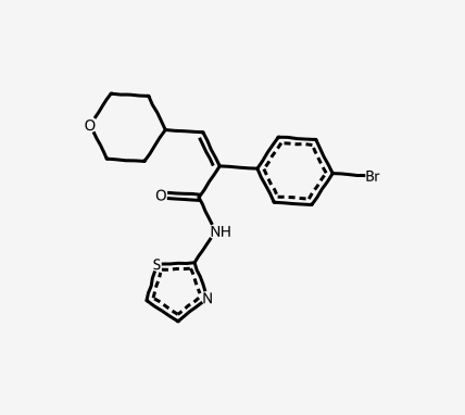 O=C(Nc1nccs1)C(=CC1CCOCC1)c1ccc(Br)cc1